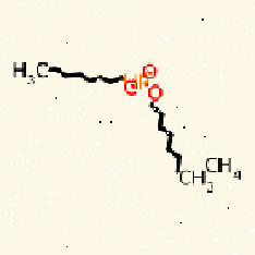 C.CCCCCCCCO[PH](=O)OCCCCCCCC